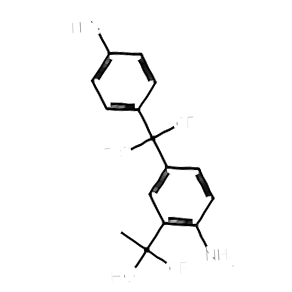 CC(O)(c1cc(C(c2ccc(N)cc2)(C(F)(F)F)C(F)(F)F)ccc1N)C(F)(F)F